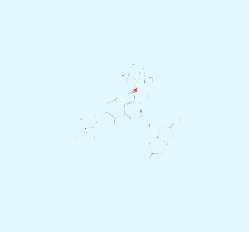 C=C1CN2CC(=C)CC2(COc2nc(N3C[C@H]4CC[C@@H](C3)N4C(=O)O)c3ccc(B4OC(C)(C)C(C)(C)O4)c(F)c3n2)C1